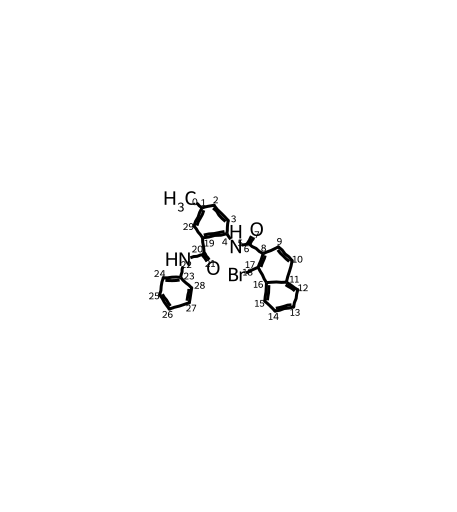 Cc1ccc(NC(=O)c2ccc3ccccc3c2Br)c(C(=O)Nc2ccccc2)c1